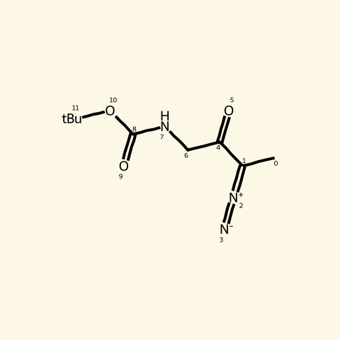 CC(=[N+]=[N-])C(=O)CNC(=O)OC(C)(C)C